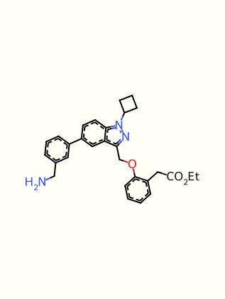 CCOC(=O)Cc1ccccc1OCc1nn(C2CCC2)c2ccc(-c3cccc(CN)c3)cc12